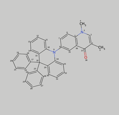 Cc1cn(C)c2ccc(N3c4ccccc4C(c4ccccc4)(c4ccccc4)c4ccccc43)cc2c1=O